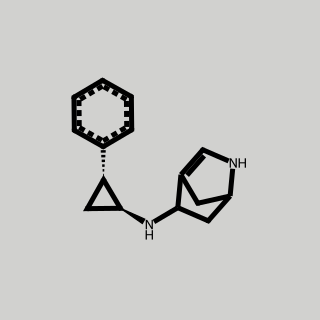 C1=C2CC(CC2N[C@H]2C[C@@H]2c2ccccc2)N1